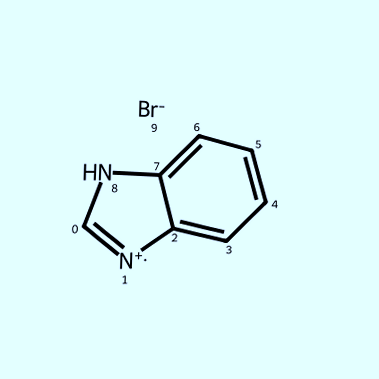 C1=[N+]c2ccccc2N1.[Br-]